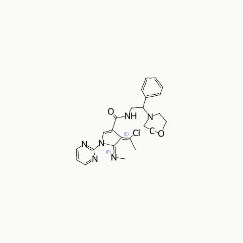 C/N=C1\C(=C(/C)Cl)C(C(=O)NCC(c2ccccc2)N2CCOCC2)=CN1c1ncccn1